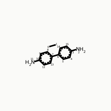 CC.Nc1ccc(-c2ccc(N)cc2)cc1